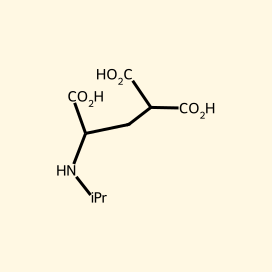 CC(C)NC(CC(C(=O)O)C(=O)O)C(=O)O